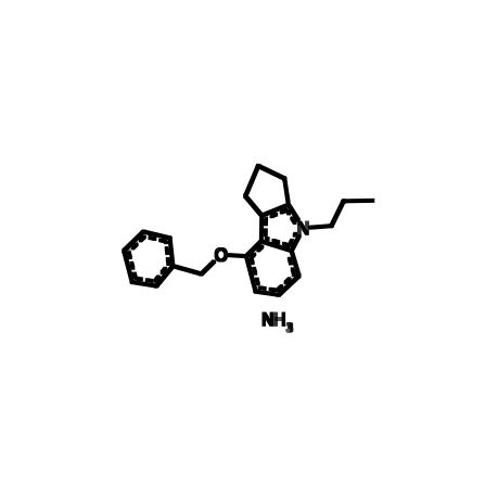 CCCn1c2c(c3c(OCc4ccccc4)cccc31)CCC2.N